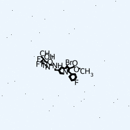 CCOC(=O)c1c(Br)c2cc(CNc3nnc(C(O)(CC)C(F)(F)F)o3)ccn2c1-c1ccc(F)cc1